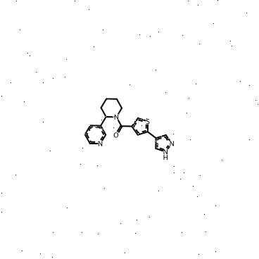 O=C(c1csc(-c2cn[nH]c2)c1)N1CCCCC1c1cccnc1